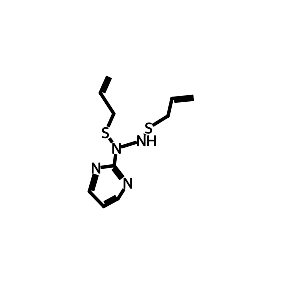 C=CCSNN(SCC=C)c1ncccn1